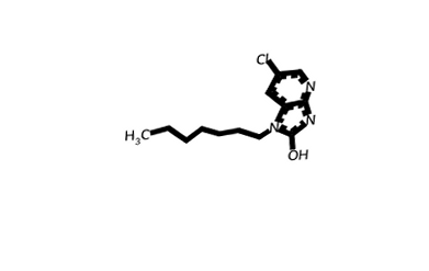 CCCCCCCn1c(O)nc2ncc(Cl)cc21